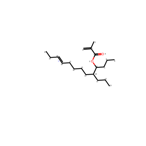 C=C(C)C(=O)OC(CCC)C(CCC)CCCC/C=C/CC